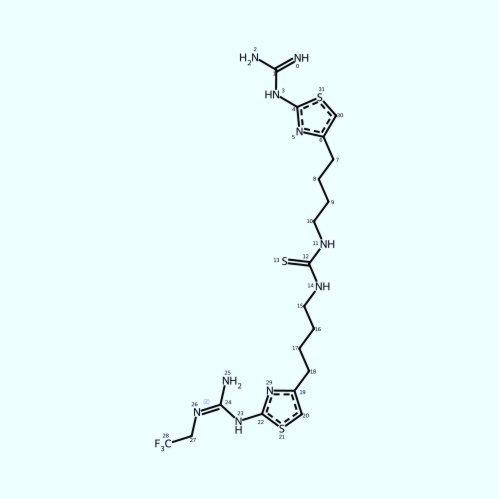 N=C(N)Nc1nc(CCCCNC(=S)NCCCCc2csc(N/C(N)=N\CC(F)(F)F)n2)cs1